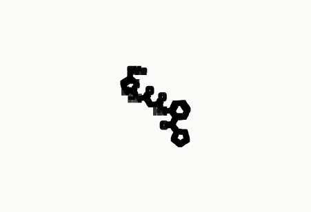 CSc1cnc(NC(=O)CC(=O)Nc2ccccc2C(=O)C2CCCC2)s1